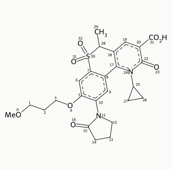 COCCCOc1cc2c(cc1N1CCCC1=O)-c1c(cc(C(=O)O)c(=O)n1C1CC1)C(C)S2(=O)=O